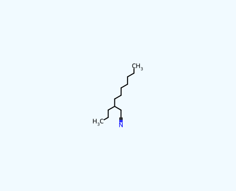 CCCCCCCC(CC#N)CCC